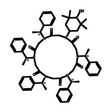 C[C@@H](c1ccccc1)N1CC(=O)N(C2CC(C)(C)N(O)C(C)(C)C2)CC(=O)N([C@@H](C)C2C=CC=CC2)CC(=O)N([C@@H](C)c2ccccc2)CC(=O)N([C@@H](C)c2ccccc2)CC(=O)N([C@@H](C)c2ccccc2)CC1=O